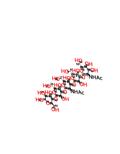 CC(=O)N[C@H]1[C@H](O[C@H]2[C@@H](O)[C@@H](CO)O[C@@H](O[C@H]3[C@H](O)[C@@H](CO)O[C@@H](O[C@H]4[C@@H](O)[C@@H](CO)O[C@@H](O[C@H]5[C@H](O)[C@@H](O)C(O)O[C@@H]5CO)[C@@H]4O)[C@@H]3NC(C)=O)[C@@H]2O)O[C@H](CO)[C@@H](O)[C@@H]1O